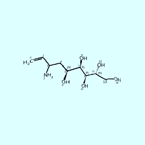 C=CC(N)C[C@H](O)[C@@H](O)[C@H](O)[C@H](O)CO